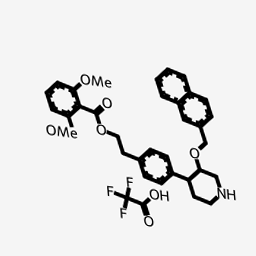 COc1cccc(OC)c1C(=O)OCCc1ccc(C2CCNCC2OCc2ccc3ccccc3c2)cc1.O=C(O)C(F)(F)F